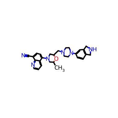 CC1CN(c2ccc(C#N)c3ncccc23)CC(CN2CCN(c3ccc4c(c3)CNC4)CC2)O1